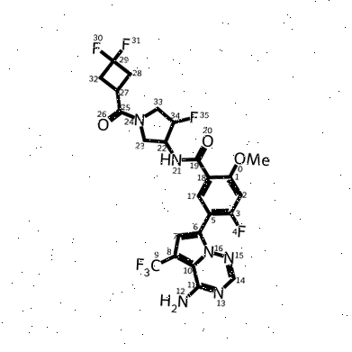 COc1cc(F)c(-c2cc(C(F)(F)F)c3c(N)ncnn23)cc1C(=O)NC1CN(C(=O)C2CC(F)(F)C2)CC1F